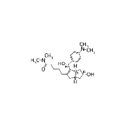 CN(C)C(=O)CCCCC1=C([C@H](O)c2ccc(N(C)C)cc2)[C@H]2C[C@H](O)C[C@@H]2C1